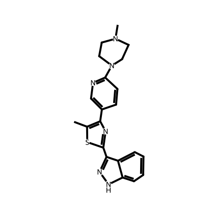 Cc1sc(-c2n[nH]c3ccccc23)nc1-c1ccc(N2CCN(C)CC2)nc1